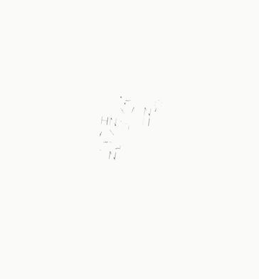 Cc1ncc(CNC(=O)C(C)C)cc1C(=O)Nc1ccc2c(c1)C(=O)N(C1CCC(C)(C)CC1)CC2(C)C